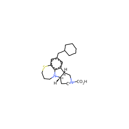 O=C(O)N1CC[C@H]2[C@@H](C1)c1cc(CC3CCCCC3)cc3c1N2CCCS3